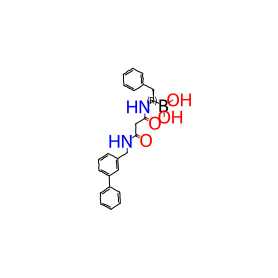 O=C(CC(=O)N[C@@H](Cc1ccccc1)B(O)O)NCc1cccc(-c2ccccc2)c1